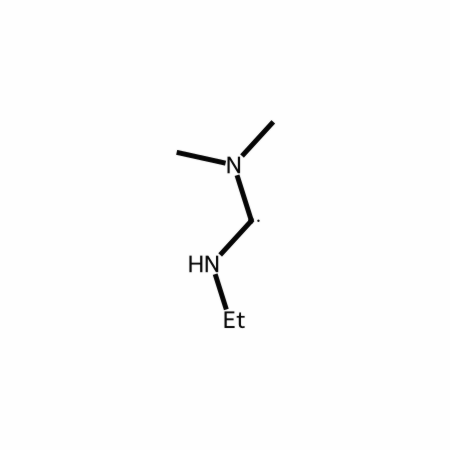 CCN[CH]N(C)C